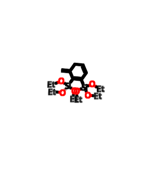 C=C1CC=CC([Si](OCC)(OCC)OCC)=C1[Si](OCC)(OCC)OCC